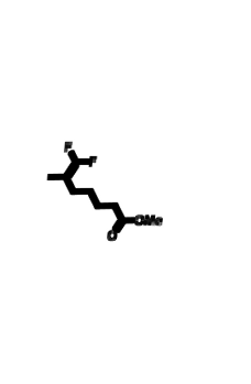 COC(=O)CCCCC(C)=C(F)F